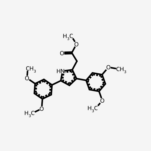 COC(=O)Cc1[nH]c(-c2cc(OC)cc(OC)c2)cc1-c1cc(OC)cc(OC)c1